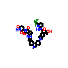 CN(CC1CCC(n2cc3cc(C(=O)Nc4cccc(C(F)(F)F)n4)c(C(C)(C)O)cc3c2)CC1)C1CCC2(CC1)CC(Nc1cccc3c1C(=O)N(C1CCC(=O)NC1=O)C3=O)C2